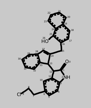 O=C1Nc2ccc(CCCl)cc2C1C1C(Cc2ccc3ccccc3c2O)=Cc2ccccc21